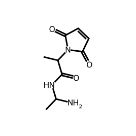 CC(N)NC(=O)C(C)N1C(=O)C=CC1=O